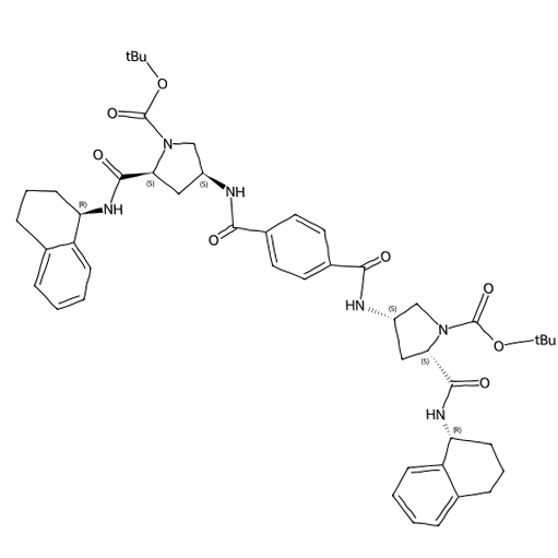 CC(C)(C)OC(=O)N1C[C@@H](NC(=O)c2ccc(C(=O)N[C@H]3C[C@@H](C(=O)N[C@@H]4CCCc5ccccc54)N(C(=O)OC(C)(C)C)C3)cc2)C[C@H]1C(=O)N[C@@H]1CCCc2ccccc21